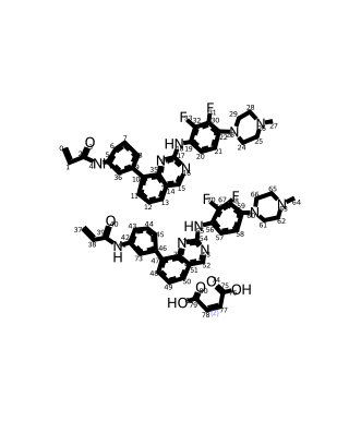 C=CC(=O)Nc1cccc(-c2cccc3cnc(Nc4ccc(N5CCN(C)CC5)c(F)c4F)nc23)c1.C=CC(=O)Nc1cccc(-c2cccc3cnc(Nc4ccc(N5CCN(C)CC5)c(F)c4F)nc23)c1.O=C(O)/C=C\C(=O)O